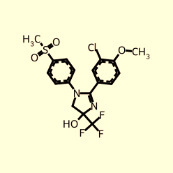 COc1ccc(C2=NC(O)(C(F)(F)F)CN2c2ccc(S(C)(=O)=O)cc2)cc1Cl